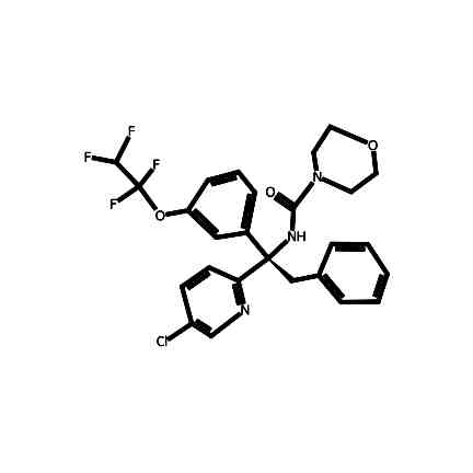 O=C(N[C@@](Cc1ccccc1)(c1cccc(OC(F)(F)C(F)F)c1)c1ccc(Cl)cn1)N1CCOCC1